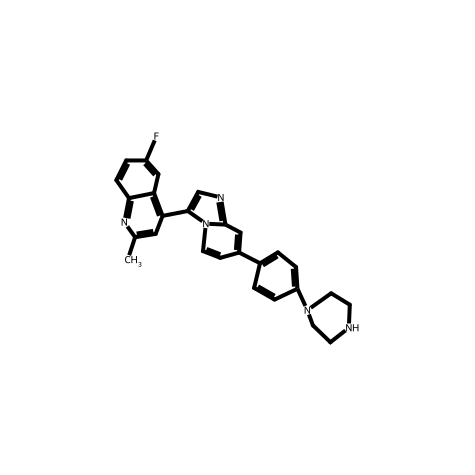 Cc1cc(-c2cnc3cc(-c4ccc(N5CCNCC5)cc4)ccn23)c2cc(F)ccc2n1